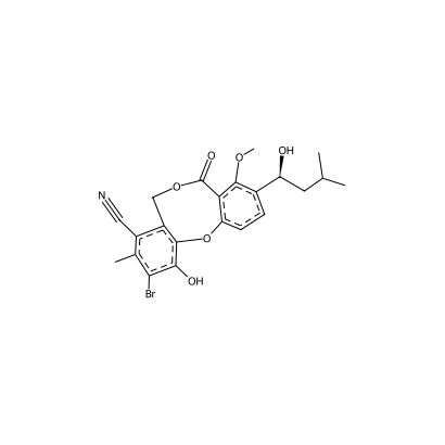 COc1c([C@@H](O)CC(C)C)ccc2c1C(=O)OCc1c(C#N)c(C)c(Br)c(O)c1O2